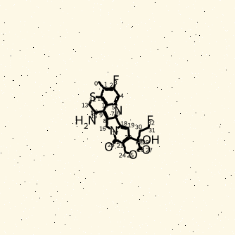 Cc1c(F)cc2nc3c(c4c2c1SC[C@H]4N)Cn1c-3cc2c(c1=O)COC(=O)[C@]2(O)CCF